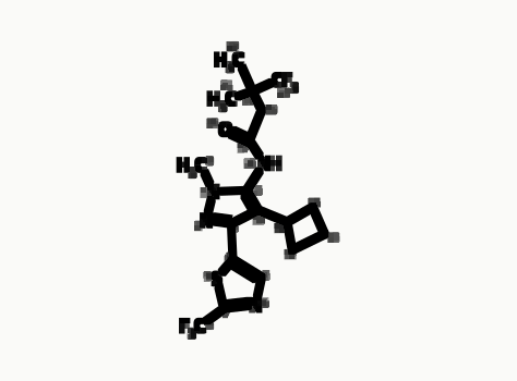 Cn1nc(-c2cnc(C(F)(F)F)s2)c(C2CCC2)c1NC(=O)CC(C)(C)C(F)(F)F